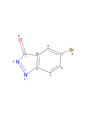 O=C1N=Nc2ccc(Br)cc21